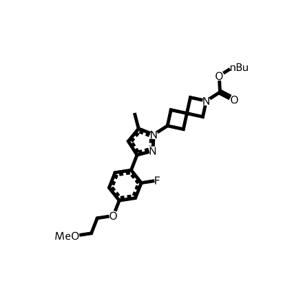 CCCCOC(=O)N1CC2(CC(n3nc(-c4ccc(OCCOC)cc4F)cc3C)C2)C1